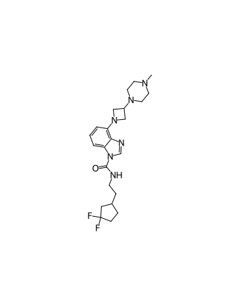 CN1CCN(C2CN(c3cccc4c3ncn4C(=O)NCCC3CCC(F)(F)C3)C2)CC1